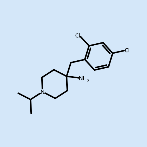 CC(C)N1CCC(N)(Cc2ccc(Cl)cc2Cl)CC1